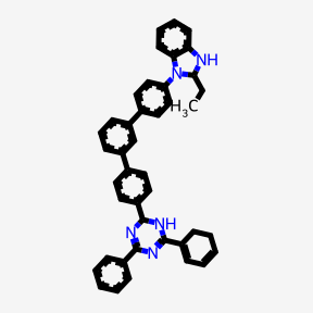 CCC1Nc2ccccc2N1c1ccc(-c2cccc(-c3ccc(C4N=C(c5ccccc5)N=C(C5=CC=CCC5)N4)cc3)c2)cc1